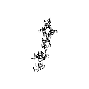 CC(C)C(N)C(=O)NC(CCCNC(N)=O)C(=O)NCCOC(=O)Nc1ncnc2c1ncn2[C@@H]1O[C@@H]2COP(=O)(S)O[C@H]3[C@@H](F)[C@H](n4ccc(=O)[nH]c4=O)O[C@@H]3COP(=O)(O)O[C@H]2[C@H]1F